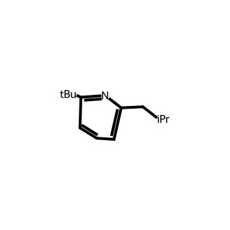 CC(C)Cc1cccc(C(C)(C)C)n1